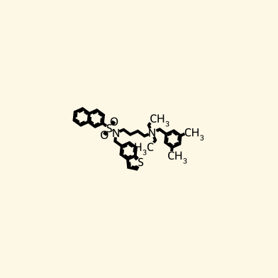 CC[N+](CC)(CCCCN(Cc1ccc2sccc2c1)S(=O)(=O)c1ccc2ccccc2c1)Cc1cc(C)cc(C)c1